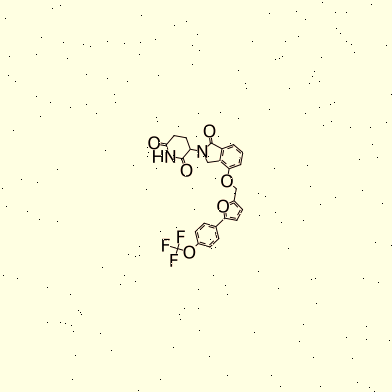 O=C1CCC(N2Cc3c(OCc4ccc(-c5ccc(OC(F)(F)F)cc5)o4)cccc3C2=O)C(=O)N1